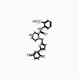 O=C(O)c1ccccc1NC(=O)[C@@H]1CNCCN1Cc1ccc(-c2cc(Cl)ccc2Cl)o1